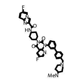 CNC1CCN(Cc2ccc(-c3cccc(-n4c(=O)n([C@H]5CC[C@@H](NC(=O)c6cn7cc(F)ccc7n6)CC5)c(=O)c5cc(F)cnc54)c3)cc2)CC1